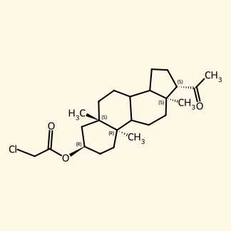 CC(=O)[C@H]1CCC2C3CC[C@@]4(C)C[C@H](OC(=O)CCl)CC[C@]4(C)C3CC[C@@]21C